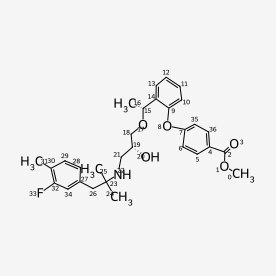 COC(=O)c1ccc(Oc2ccccc2[C@@H](C)OC[C@H](O)CNC(C)(C)Cc2ccc(C)c(F)c2)cc1